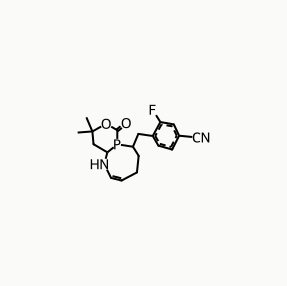 CC1(C)CC2NC=CCCC(Cc3ccc(C#N)cc3F)P2C(=O)O1